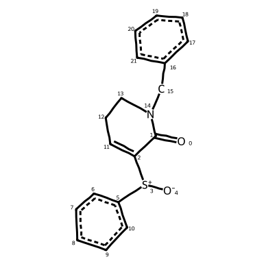 O=C1C([S+]([O-])c2ccccc2)=CCCN1Cc1ccccc1